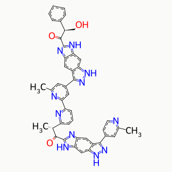 Cc1cc(-c2n[nH]c3cc4[nH]c(C(=O)[C@H](C)c5cccc(-c6cc(-c7n[nH]c8cc9[nH]c(C(=O)[C@H](CO)c%10ccccc%10)nc9cc78)cc(C)n6)n5)nc4cc23)ccn1